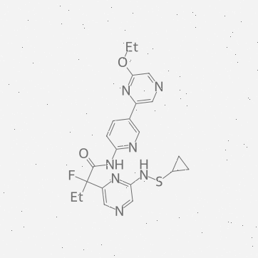 CCOc1cncc(-c2ccc(NC(=O)C(F)(CC)c3cncc(NSC4CC4)n3)nc2)n1